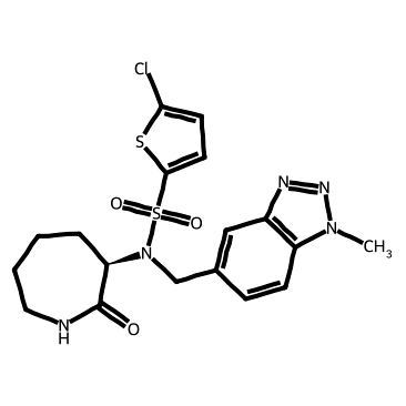 Cn1nnc2cc(CN([C@@H]3CCCCNC3=O)S(=O)(=O)c3ccc(Cl)s3)ccc21